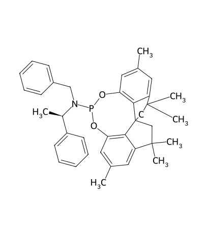 Cc1cc2c3c(c1)C(C)(C)CC31CC(C)(C)c3cc(C)cc(c31)OP(N(Cc1ccccc1)[C@H](C)c1ccccc1)O2